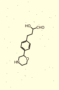 O=CC(O)CCc1ccc(C2CNCCO2)cc1